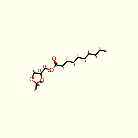 CCCCCCCCCC(=O)OCC1COC(C)O1